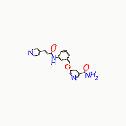 NC(=O)c1cncc(OCc2cccc(NC(=O)C=Cc3ccncc3)c2)c1